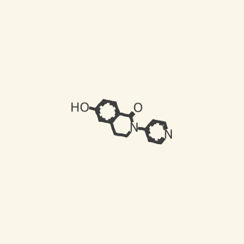 O=C1c2ccc(O)cc2CCN1c1ccncc1